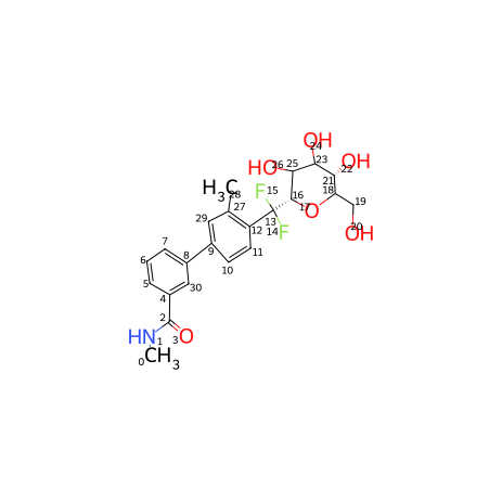 CNC(=O)c1cccc(-c2ccc(C(F)(F)[C@H]3OC(CO)[C@@H](O)C(O)C3O)c(C)c2)c1